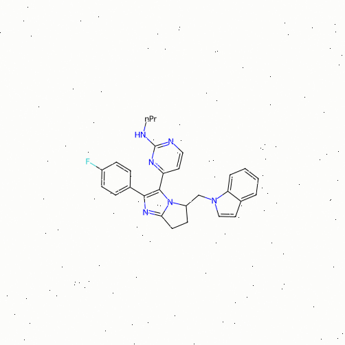 CCCNc1nccc(-c2c(-c3ccc(F)cc3)nc3n2C(Cn2ccc4ccccc42)CC3)n1